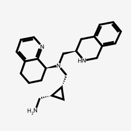 NC[C@H]1C[C@H]1CN(C[C@H]1Cc2ccccc2CN1)[C@H]1CCCc2cccnc21